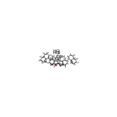 CC1=Cc2ccc(-c3cccc4cccnc34)cc2[CH]1[Zr]([CH3])([CH3])(=[SiH2])[CH]1C(C)=Cc2ccc(-c3cccc4cccnc34)cc21.Cl.Cl